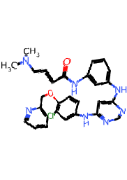 CN(C)CC=CC(=O)Nc1cccc(Nc2cc(Nc3ccc(OCc4ccccn4)c(Cl)c3)ncn2)c1